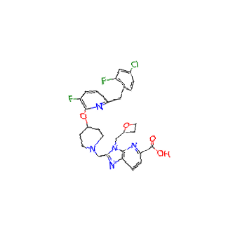 O=C(O)c1ccc2nc(CN3CCC(Oc4nc(Cc5ccc(Cl)cc5F)ccc4F)CC3)n(CC3CCO3)c2n1